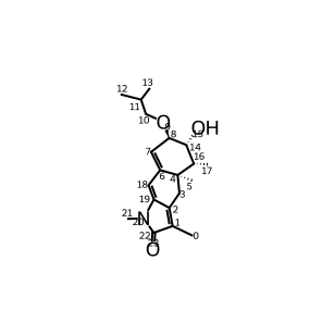 CC1=C2C[C@@]3(C)C(=C[C@@H](OCC(C)C)[C@H](O)[C@@H]3C)C=C2N(C)C1=O